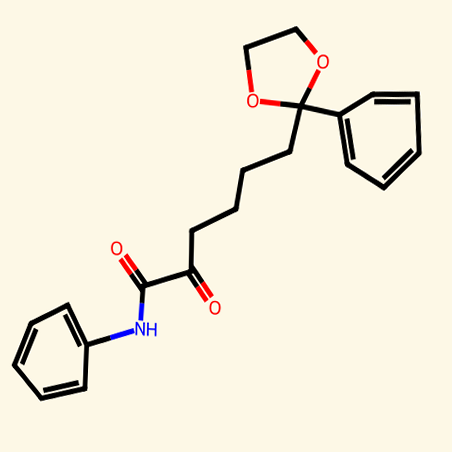 O=C(CCCCC1(c2ccccc2)OCCO1)C(=O)Nc1ccccc1